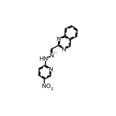 O=[N+]([O-])c1ccc(N/N=C/c2ncc3ccccc3n2)nc1